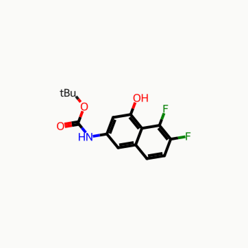 CC(C)(C)OC(=O)Nc1cc(O)c2c(F)c(F)ccc2c1